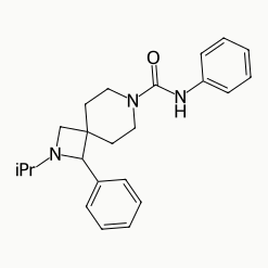 CC(C)N1CC2(CCN(C(=O)Nc3ccccc3)CC2)C1c1ccccc1